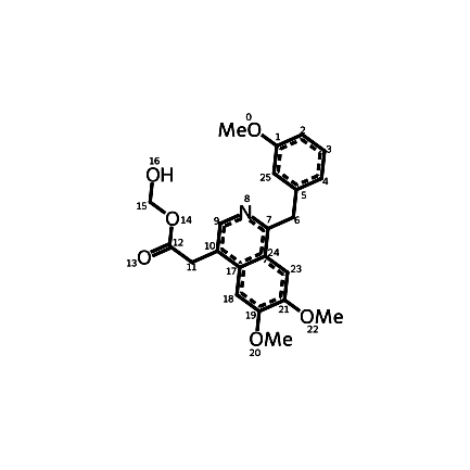 COc1cccc(Cc2ncc(CC(=O)OCO)c3cc(OC)c(OC)cc23)c1